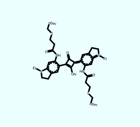 CCCCCCCCCCCSCCC(=O)Nc1cc2c(cc1C1=C(O)/C(=c3/cc4c(cc3NC(=O)CCSCCCCCCCCCCC)=[N+](CC)CC4)C1=O)CCN2CC